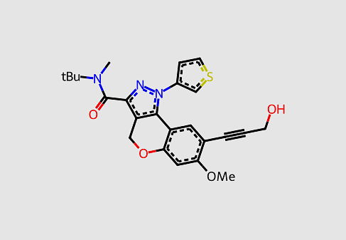 COc1cc2c(cc1C#CCO)-c1c(c(C(=O)N(C)C(C)(C)C)nn1-c1ccsc1)CO2